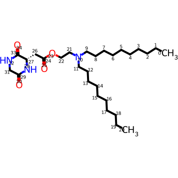 CCCCCCCCCCN(CCCCCCCCCC)CCOC(=O)C[C@@H]1NC(=O)CNC1=O